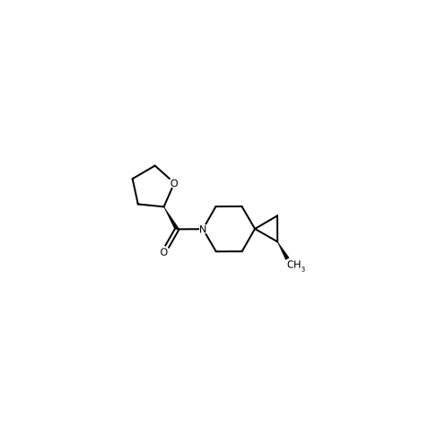 C[C@@H]1CC12CCN(C(=O)[C@H]1CCCO1)CC2